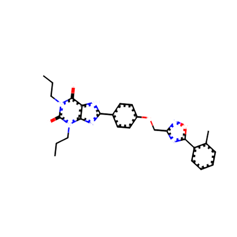 CCCn1c(=O)c2[nH]c(-c3ccc(OCc4noc(-c5ccccc5C)n4)cc3)nc2n(CCC)c1=O